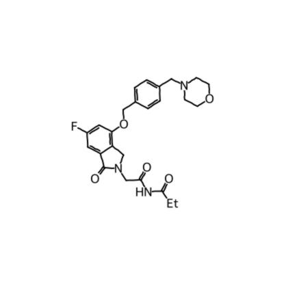 CCC(=O)NC(=O)CN1Cc2c(OCc3ccc(CN4CCOCC4)cc3)cc(F)cc2C1=O